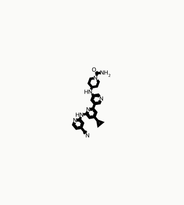 N#Cc1ccnc(Nc2cc(C3CC3)cc(-c3cncc(NC4CCN(C(N)=O)CC4)c3)n2)c1